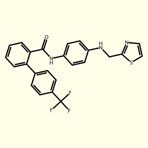 O=C(Nc1ccc(NCc2nccs2)cc1)c1ccccc1-c1ccc(C(F)(F)F)cc1